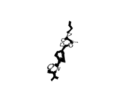 CCCCOC(=O)[C@H](C)OC(=O)c1ccc(C2=NC(C(C)C)CO2)cc1